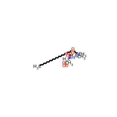 CCCCCCCCCCCCCCCCCCOCC(CS(=O)(=O)CCC[N+](C)(C)C)OC(=O)NC.CS(=O)(=O)[O-]